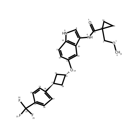 COCC1(C(=O)Nc2c[nH]c3ccc(O[C@H]4C[C@H](c5ccc(C(F)(F)F)cc5)C4)cc23)CC1